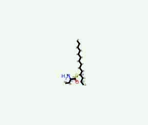 CCCCCCCCCCC(CCC)SC(=O)C(N)CC